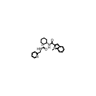 Cn1c(C(=O)N[C@H]2CCCC[C@H]2C(=O)NCc2ccccn2)cc2ccccc21